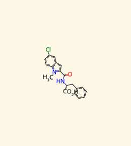 Cn1c(C(=O)N[C@@H](Cc2ccccc2)C(=O)O)cc2cc(Cl)ccc21